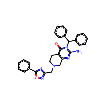 Nc1nc2c(c(=O)n1C(c1ccccc1)c1ccccc1)CCN(Cc1noc(-c3ccccc3)n1)C2